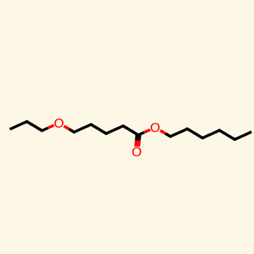 CCCCCCOC(=O)CCCCOCCC